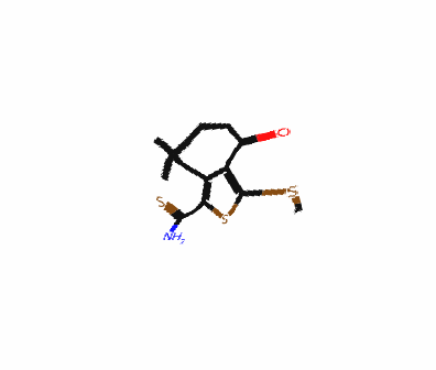 CSc1sc(C(N)=S)c2c1C(=O)CCC2(C)C